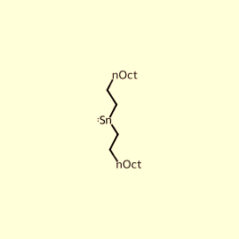 CCCCCCCCC[CH2][Sn][CH2]CCCCCCCCC